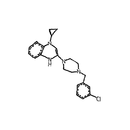 Clc1cccc(CN2CCN(C3=CN(C4CC4)c4ccccc4N3)CC2)c1